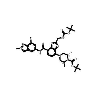 C[C@H]1CN(c2ccc(C(=O)Nc3cc(F)c4nn(C)cc4c3)c3nc(CNC(=O)OC(C)(C)C)sc23)C[C@H](C)N1C(=O)OC(C)(C)C